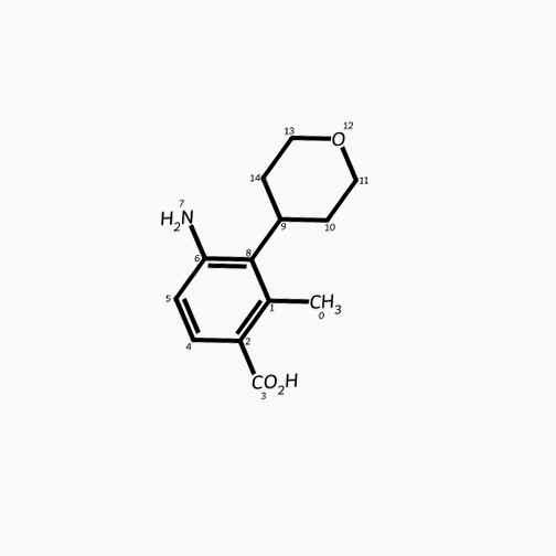 Cc1c(C(=O)O)ccc(N)c1C1CCOCC1